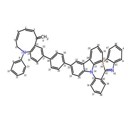 C=C1/C=C\C=C/CN(c2ccccc2)c2ccc(-c3ccc(-c4ccc5c(c4)c4ccccc4n5-c4ccccc4-c4nc5ccccc5s4)cc3)cc21